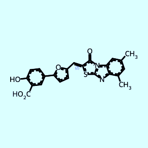 Cc1cc(C)c2nc3s/c(=C\c4ccc(-c5ccc(O)c(C(=O)O)c5)o4)c(=O)n3c2c1